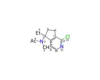 CCC1(N(C)C(C)=O)CCc2c1ccnc2Cl